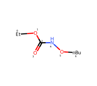 [CH2]COC(=O)NOCCCC